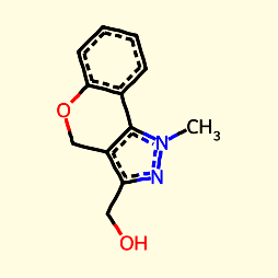 Cn1nc(CO)c2c1-c1ccccc1OC2